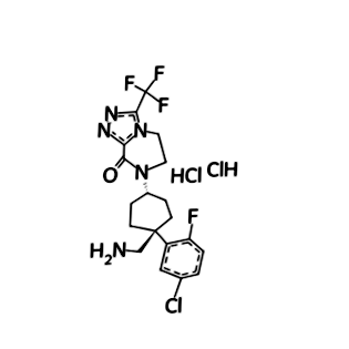 Cl.Cl.NC[C@]1(c2cc(Cl)ccc2F)CC[C@@H](N2CCn3c(nnc3C(F)(F)F)C2=O)CC1